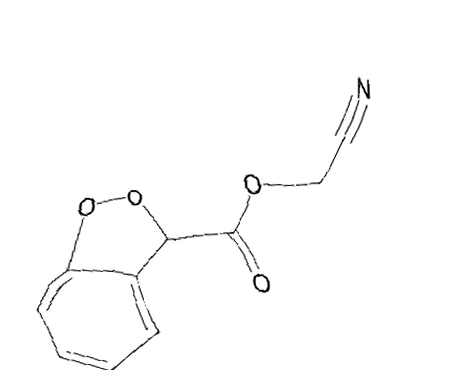 N#CCOC(=O)C1OOc2ccccc21